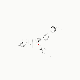 C[C@]12C=CC(=O)C=C1CC[C@@H]1[C@@H]2[C@@H](O)C[C@@]2(C)[C@H]1C[C@H]1O[C@@H](c3cccc(Cc4ccc(CO)c(N)c4)c3)O[C@]12C(=O)COC(=O)[C@@H](N)CC(=O)O